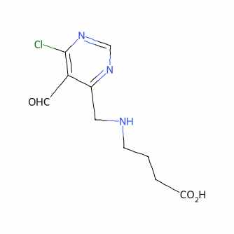 O=Cc1c(Cl)ncnc1CNCCCC(=O)O